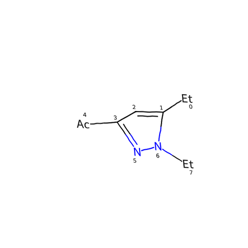 CCc1cc(C(C)=O)nn1CC